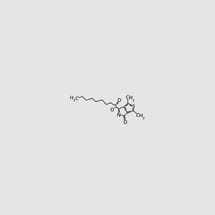 CCCCCCCCS(=O)(=O)C1=NC(=O)c2c(C)sc(C)c21